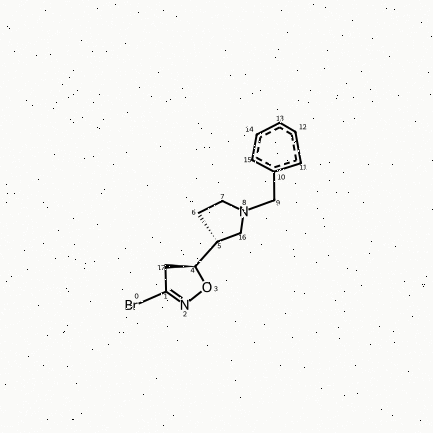 BrC1=NO[C@H]([C@@H]2CCN(Cc3ccccc3)C2)C1